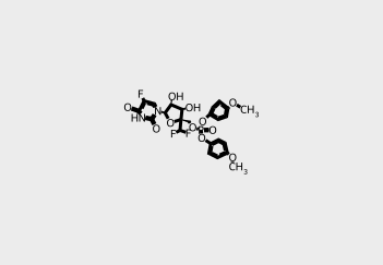 COc1ccc(OP(=O)(OC[C@@]2(C(F)F)O[C@@H](n3cc(F)c(=O)[nH]c3=O)[C@H](O)[C@H]2O)Oc2ccc(OC)cc2)cc1